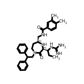 CCC(NC(=N)N)[C@@H]1N[C@H](CNC(=O)c2ccc(C)c(C)c2)CCN(CC(c2ccccc2)c2ccccc2)C1=O